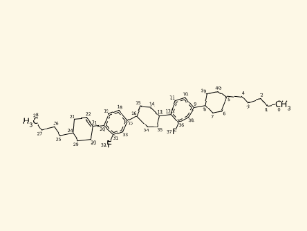 CCCCCC1CCC(c2ccc(C3CCC(c4ccc(C5=CCC(CCCC)CC5)c(F)c4)CC3)c(F)c2)CC1